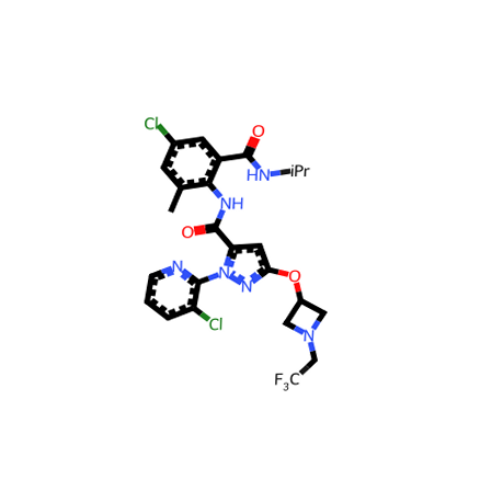 Cc1cc(Cl)cc(C(=O)NC(C)C)c1NC(=O)c1cc(OC2CN(CC(F)(F)F)C2)nn1-c1ncccc1Cl